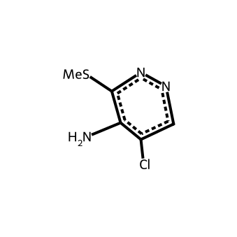 CSc1nncc(Cl)c1N